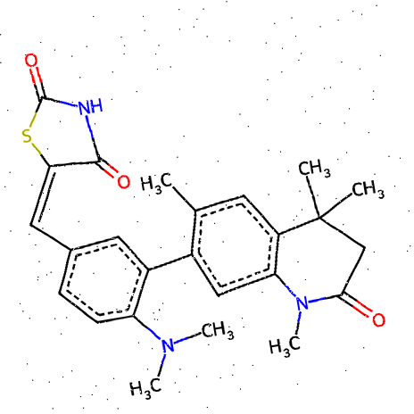 Cc1cc2c(cc1-c1cc(C=C3SC(=O)NC3=O)ccc1N(C)C)N(C)C(=O)CC2(C)C